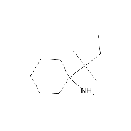 CCC(C)(C)C1(N)CCCCC1